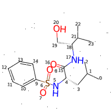 CC(C)C[C@H](NS(=O)(=O)c1ccccc1)C(=O)N[C@H](CO)C(C)C